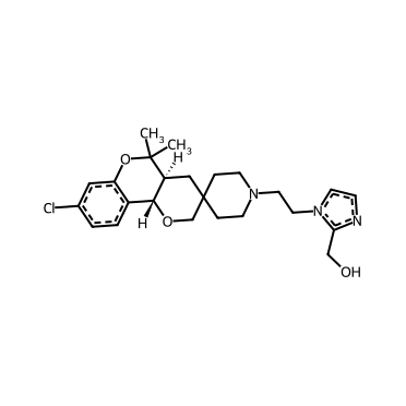 CC1(C)Oc2cc(Cl)ccc2[C@H]2OCC3(CCN(CCn4ccnc4CO)CC3)C[C@@H]21